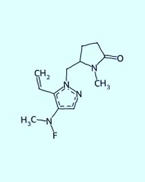 C=Cc1c(N(C)F)cnn1CC1CCC(=O)N1C